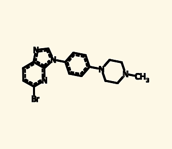 CN1CCN(c2ccc(-n3cnc4ccc(Br)nc43)cc2)CC1